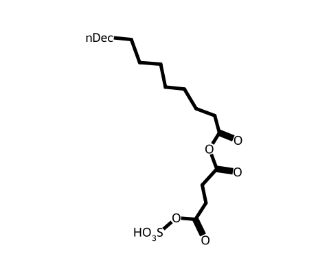 CCCCCCCCCCCCCCCCCC(=O)OC(=O)CCC(=O)OS(=O)(=O)O